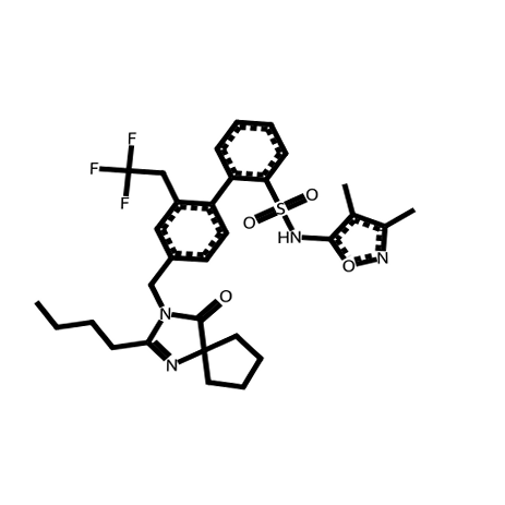 CCCCC1=NC2(CCCC2)C(=O)N1Cc1ccc(-c2ccccc2S(=O)(=O)Nc2onc(C)c2C)c(CC(F)(F)F)c1